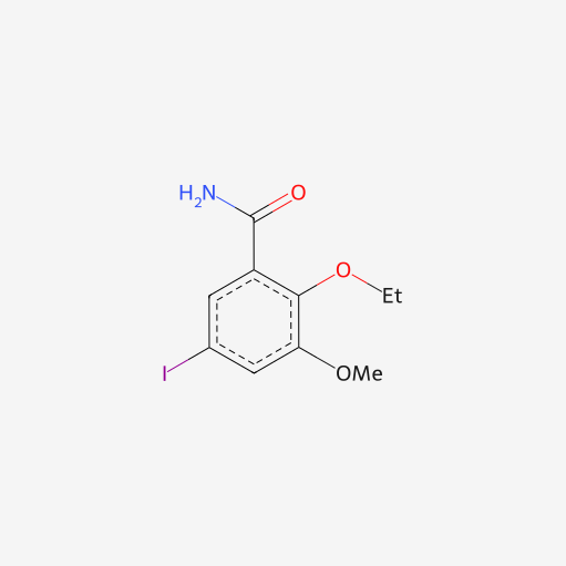 CCOc1c(OC)cc(I)cc1C(N)=O